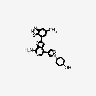 Cc1cc(-c2cc3c(-c4cnn([C@H]5CC[C@H](O)CC5)c4)cnc(N)c3o2)c2snnc2c1